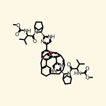 COC(=O)NC(C(=O)N1C2CCC(C2)[C@H]1c1nc(-c2ccc(C3=C4CCC(=C3)CCC=Cc3ccc(cc3-c3c[nH]c([C@@H]5C6CCC(C6)N5C(=O)C(NC(=O)OC)C(C)C)n3)CC4)cc2)c[nH]1)C(C)C